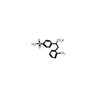 Cc1ccccc1C[C@H](C(=O)O)c1ccc(S(C)(=O)=O)cc1